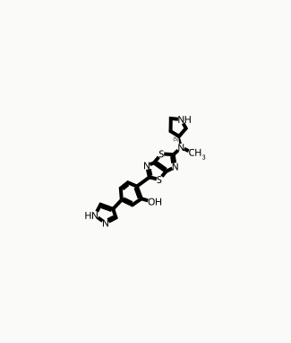 CN(c1nc2sc(-c3ccc(-c4cn[nH]c4)cc3O)nc2s1)[C@H]1CCNC1